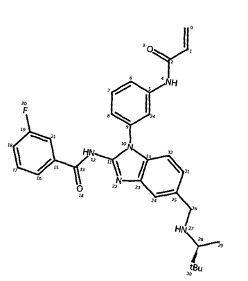 C=CC(=O)Nc1cccc(-n2c(NC(=O)c3cccc(F)c3)nc3cc(CN[C@@H](C)C(C)(C)C)ccc32)c1